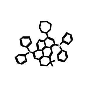 CC1(C)CCc2cc(N(c3ccccc3)c3ccccc3)c3ccc4c(C5CCCCCC5)cc(N(c5ccccc5)c5ccccc5)c5cc1c2c3c45